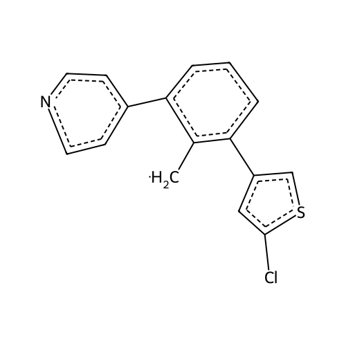 [CH2]c1c(-c2ccncc2)cccc1-c1csc(Cl)c1